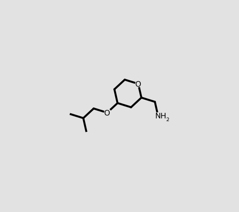 CC(C)COC1CCOC(CN)C1